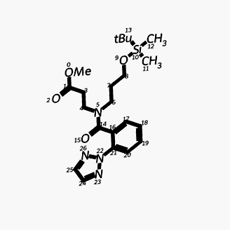 COC(=O)CCN(CCCO[Si](C)(C)C(C)(C)C)C(=O)c1ccccc1-n1nccn1